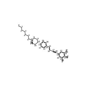 CCCCCCC[Si@H]1CC[C@H](c2ccc(/C=C/C#Cc3cc(F)c(F)c(F)c3)cc2)CC1